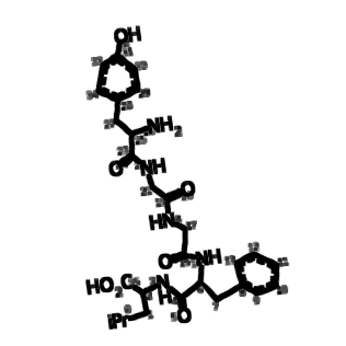 CC(C)CC(NC(=O)[C@H](Cc1ccccc1)NC(=O)CNC(=O)CNC(=O)C(N)Cc1ccc(O)cc1)C(=O)O